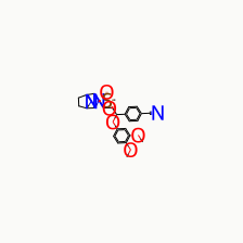 COc1ccc(OC(CCCN2C3CCC2CN(S(C)(=O)=O)C3)c2ccc(C#N)cc2)cc1OC